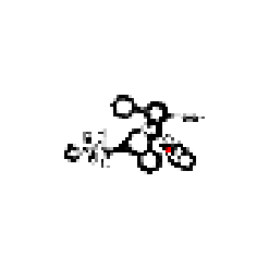 COc1ccc(C2CCCCC2)c2c1cc1n2CC2=C(C(=O)NS(=O)(=O)N3CCC3)C2=C2C=CC[C@@H](C(=O)N3C4CCC3CN(C)C4)C21